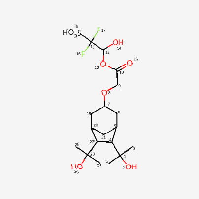 CC(C)(O)C1C2CC(OCC(=O)OC(O)C(F)(F)S(=O)(=O)O)CC(C2)C1C(C)(C)O